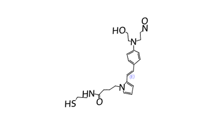 O=NCCN(CCO)c1ccc(/C=C/c2cccn2CCCC(=O)NCCS)cc1